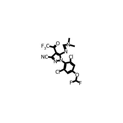 CN(C)C=Nc1c(C(=O)C(F)(F)F)c(C#N)nn1-c1c(Cl)cc(OC(F)F)cc1Cl